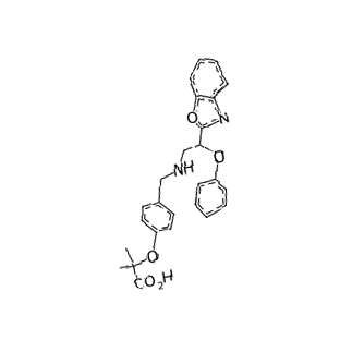 CC(C)(Oc1ccc(CNCC(Oc2ccccc2)c2nc3ccccc3o2)cc1)C(=O)O